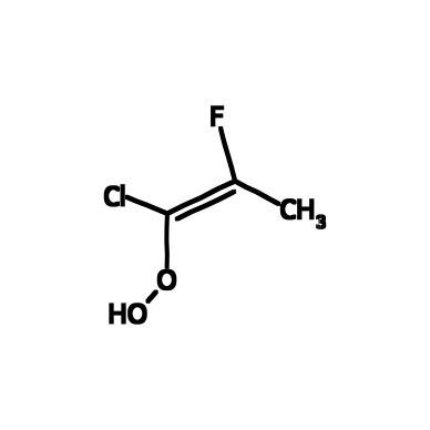 C/C(F)=C(/Cl)OO